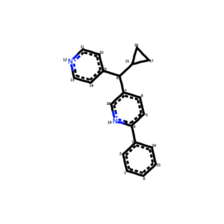 c1ccc(-c2ccc(C(c3ccncc3)C3CC3)cn2)cc1